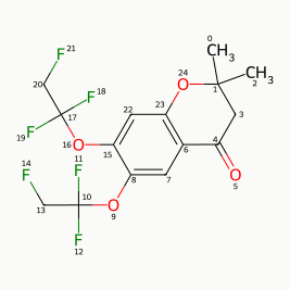 CC1(C)CC(=O)c2cc(OC(F)(F)CF)c(OC(F)(F)CF)cc2O1